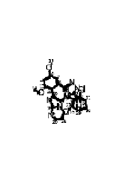 CNc1nnc(-c2cc(OC)cc(OC)c2-c2nc3ncccn3c2Nc2c(Cl)cccc2Cl)o1